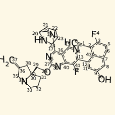 C#Cc1c(F)ccc2cc(O)cc(-c3ncc4c(N5CC6CCC5CN6)nc(OC[C@@]56CCCN5CC(=C)C6)nc4c3F)c12